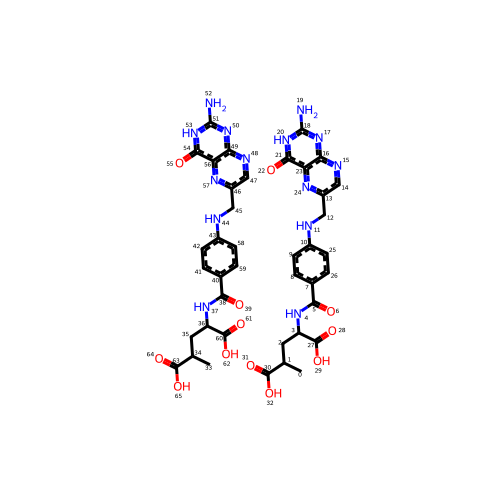 CC(CC(NC(=O)c1ccc(NCc2cnc3nc(N)[nH]c(=O)c3n2)cc1)C(=O)O)C(=O)O.CC(CC(NC(=O)c1ccc(NCc2cnc3nc(N)[nH]c(=O)c3n2)cc1)C(=O)O)C(=O)O